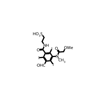 COCC(=O)N(C)c1c(I)c([C]=O)c(I)c(C(=O)NCCS(=O)(=O)O)c1I